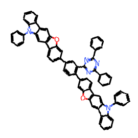 c1ccc(-c2nc(-c3ccccc3)nc(-c3cc(-c4ccc5c(c4)oc4cc6c7ccccc7n(-c7ccccc7)c6cc45)ccc3-c3ccc4c(c3)oc3cc5c6ccccc6n(-c6ccccc6)c5cc34)n2)cc1